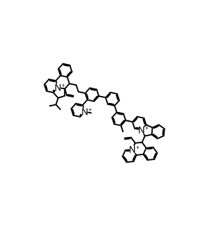 C=CC1C(C2c3ccccc3-c3ccc(-c4cc(-c5cccc(-c6ccc(CCC7c8ccccc8-c8cccc9[n+]8C7(C=C)CC9C(C)C)c(-c7cccc[n+]7C)c6)c5)ccc4C)c[n+]32)c2ccccc2-c2cccc[n+]21